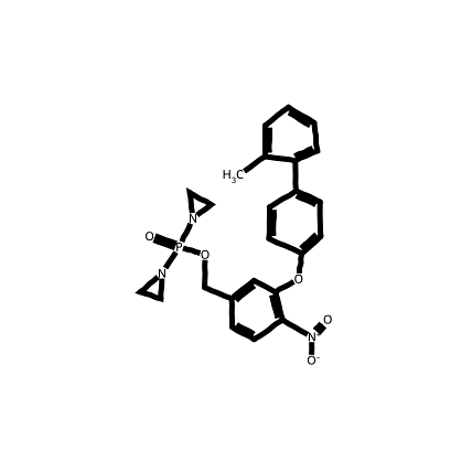 Cc1ccccc1-c1ccc(Oc2cc(COP(=O)(N3CC3)N3CC3)ccc2[N+](=O)[O-])cc1